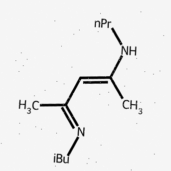 CCCNC(C)=CC(C)=NC(C)CC